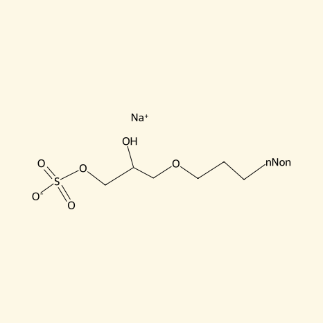 CCCCCCCCCCCCOCC(O)COS(=O)(=O)[O-].[Na+]